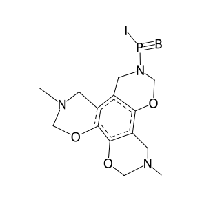 B#P(I)N1COc2c(c3c(c4c2CN(C)CO4)OCN(C)C3)C1